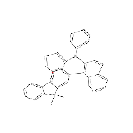 CC1(C)c2ccccc2-c2ccc(-c3c(N(c4ccccc4)c4ccccc4)ccc4ccccc34)cc21